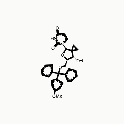 COc1ccc(C(OC[C@H]2O[C@@H](n3ccc(=O)[nH]c3=O)C3(CC3)[C@@H]2O)(c2ccccc2)c2ccccc2)cc1